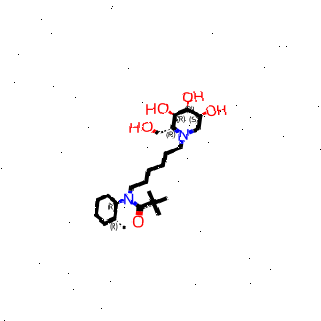 C[C@@H]1CCCC[C@H]1N(CCCCCCN1C[C@H](O)[C@@H](O)[C@H](O)[C@H]1CO)C(=O)C(C)(C)C